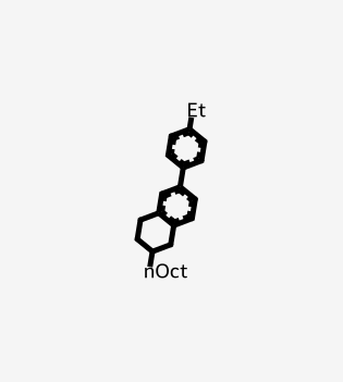 CCCCCCCCC1CCc2cc(-c3ccc(CC)cc3)ccc2C1